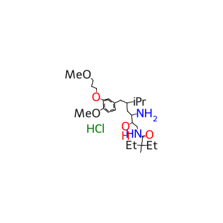 CCC(C)(CC)C(=O)NCC(O)C(N)CC(Cc1ccc(OC)c(OCCCOC)c1)C(C)C.Cl